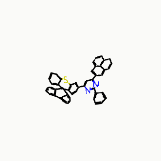 C1=Cc2cc(-c3cc(-c4ccc5c(c4)Sc4ccccc4C54c5ccccc5-c5ccccc54)nc(-c4ccccc4)n3)cc3cccc(c23)C1